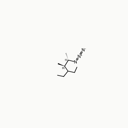 CCC(CC)[C@@H](C)[C@H](C)N=[N+]=[N-]